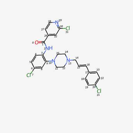 O=C(Nc1ccc(Cl)cc1N1CCN(C/C=C/c2ccc(Cl)cc2)CC1)c1ccnc(Cl)c1